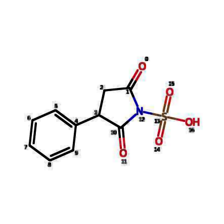 O=C1CC(c2ccccc2)C(=O)N1S(=O)(=O)O